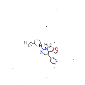 Cc1occc1-c1nc(N2CCCC(C)C2)ncc1-c1cccnc1